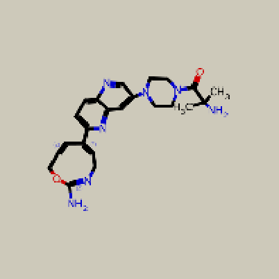 CC(C)(N)C(=O)N1CCN(c2cnc3ccc(C4=C/C/N=C(/N)OC/C=C\4)nc3c2)CC1